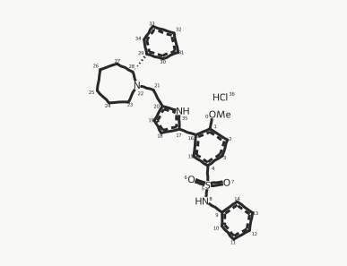 COc1ccc(S(=O)(=O)Nc2ccccc2)cc1-c1ccc(CN2CCCCC[C@@H]2c2ccccc2)[nH]1.Cl